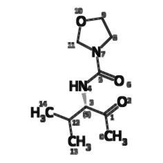 CC(=O)[C@@H](NC(=O)N1CCOC1)C(C)C